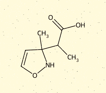 CC(C(=O)O)C1(C)C=CON1